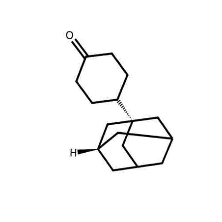 O=C1CCC([C@]23CC4CC(C[C@H](C4)C2)C3)CC1